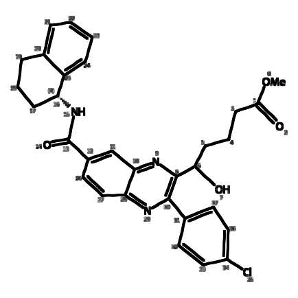 COC(=O)CCCC(O)c1nc2cc(C(=O)N[C@@H]3CCCc4ccccc43)ccc2nc1-c1ccc(Cl)cc1